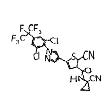 N#CC1SC(c2cnn(-c3c(Cl)cc(C(F)(C(F)(F)F)C(F)(F)F)cc3Cl)c2)=CC1C(=O)NC1(C#N)CC1